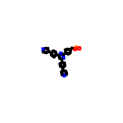 O=POCc1ccc(-c2nc(-c3ccc(-c4ccncc4)cc3)cc(-c3ccc(-c4ccncc4)cc3)n2)cc1